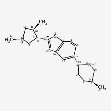 C[C@H]1CC[C@H](c2ccc3sc([C@@H]4CN(C)C[C@H]4C)nc3c2)NC1